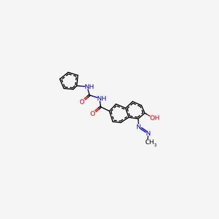 CN=Nc1c(O)ccc2cc(C(=O)NC(=O)Nc3ccccc3)ccc12